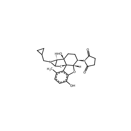 Cc1ccc(O)c2c1[C@]13CC4[C@@H](N4CC4CC4)[C@]1(O)CC[C@@H](N1C(=O)CCC1=O)[C@@H]3O2